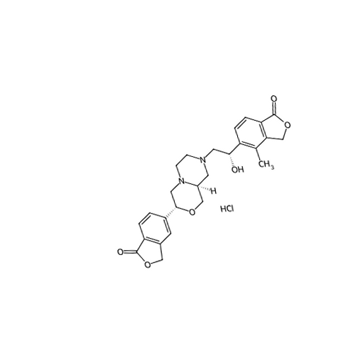 Cc1c([C@H](O)CN2CCN3C[C@@H](c4ccc5c(c4)COC5=O)OC[C@@H]3C2)ccc2c1COC2=O.Cl